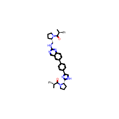 CC(C)[C@H](C)C(=O)N1CCC[C@H]1CNc1ncc2cc(-c3ccc(-c4c[nH]c([C@@H]5CCCN5C(=O)[C@@H](C)C(C)C)n4)cc3)ccc2n1